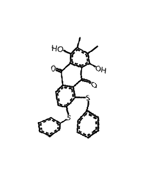 Cc1c(C)c(O)c2c(c1O)C(=O)c1ccc(Sc3ccccc3)c(Sc3ccccc3)c1C2=O